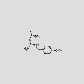 COc1ccc(CN/C(N)=C\C(C)=N)cc1